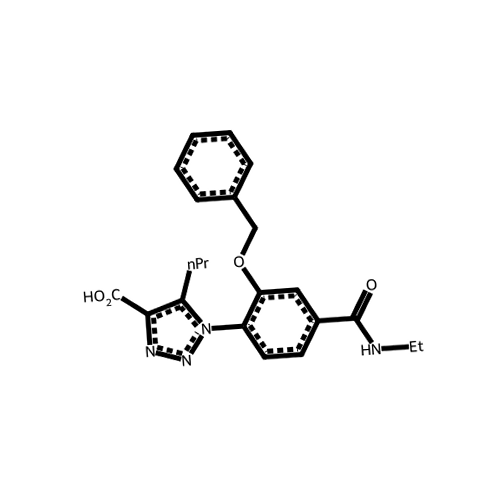 CCCc1c(C(=O)O)nnn1-c1ccc(C(=O)NCC)cc1OCc1ccccc1